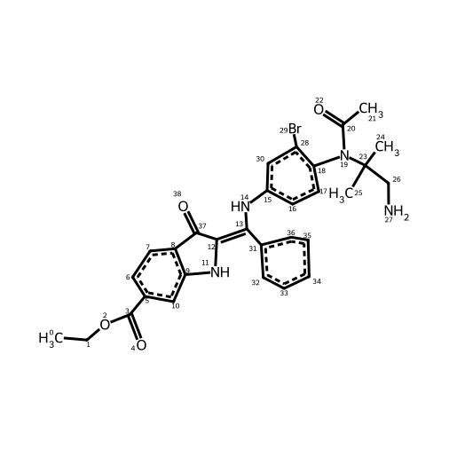 CCOC(=O)c1ccc2c(c1)NC(=C(Nc1ccc(N(C(C)=O)C(C)(C)CN)c(Br)c1)c1ccccc1)C2=O